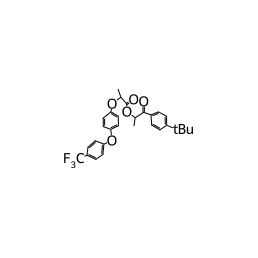 CC(Oc1ccc(Oc2ccc(C(F)(F)F)cc2)cc1)C(=O)OC(C)C(=O)c1ccc(C(C)(C)C)cc1